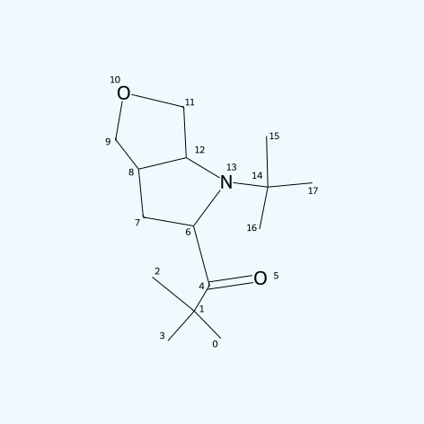 CC(C)(C)C(=O)C1CC2COCC2N1C(C)(C)C